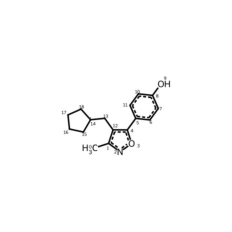 Cc1noc(-c2ccc(O)cc2)c1C[C]1CCCC1